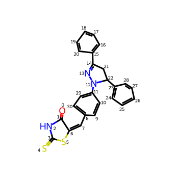 O=C1NC(=S)S/C1=C/c1ccc(N2N=C(c3ccccc3)CC2c2ccccc2)cc1